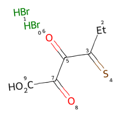 Br.Br.CCC(=S)C(=O)C(=O)C(=O)O